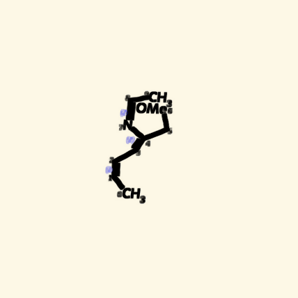 C\C=C/C=C(COC)\N=C/C